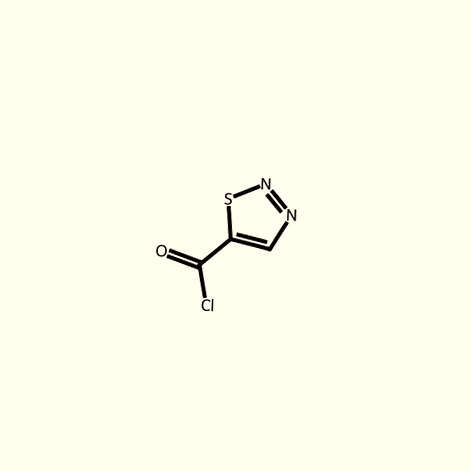 O=C(Cl)c1cnns1